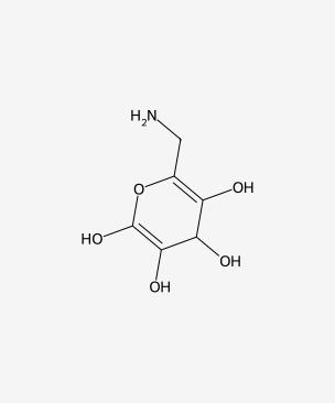 NCC1=C(O)C(O)C(O)=C(O)O1